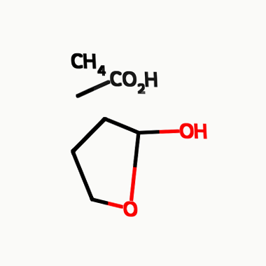 C.CC(=O)O.OC1CCCO1